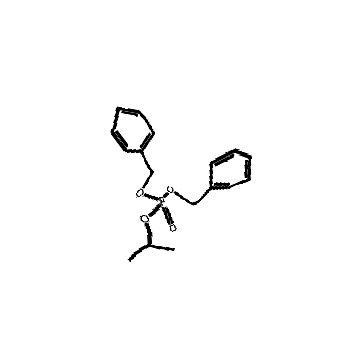 CC(C)OP(=O)(OCc1ccccc1)OCc1ccccc1